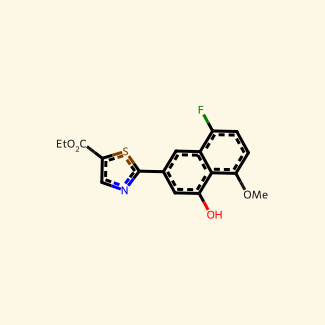 CCOC(=O)c1cnc(-c2cc(O)c3c(OC)ccc(F)c3c2)s1